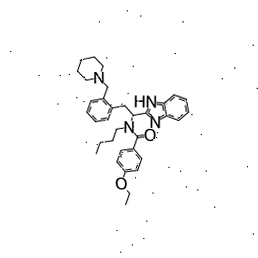 CCCCN(C(=O)c1ccc(OCC)cc1)C(Cc1ccccc1CN1CCCCC1)c1nc2ccccc2[nH]1